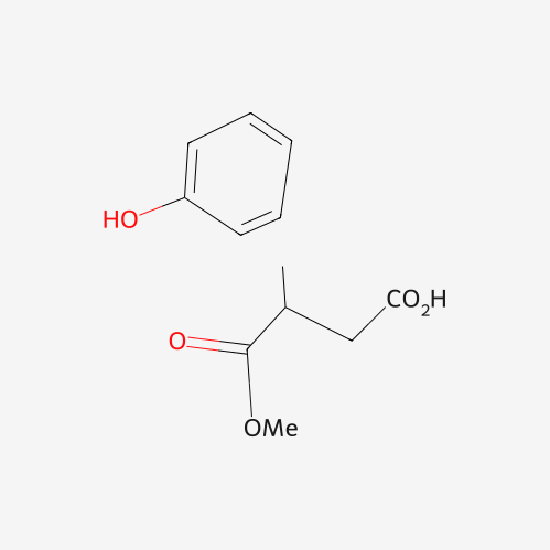 COC(=O)C(C)CC(=O)O.Oc1ccccc1